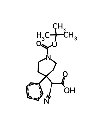 CC(C)(C)OC(=O)N1CCC(c2ccccc2)(C(C#N)C(=O)O)CC1